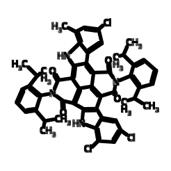 Cc1cc(Cl)cc2c1[nH]c1c3c4c(c5[nH]c6c(Cl)cc(Cl)cc6c5c5c4c(c12)C(=O)N(c1c(C(C)C)cccc1C(C)C)C5=O)C(=O)N(c1c(C(C)C)cccc1C(C)C)C3=O